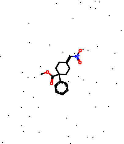 COC(=O)C1(c2ccccc2)CCC(=C[N+](=O)[O-])CC1